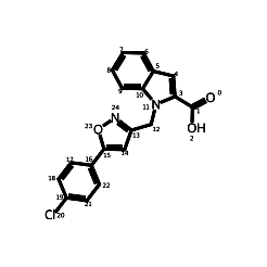 O=C(O)c1cc2ccccc2n1Cc1cc(-c2ccc(Cl)cc2)on1